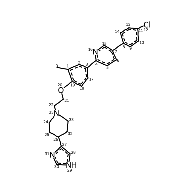 Cc1cc(-c2ccc(-c3ccc(Cl)cc3)cn2)ccc1OCCN1CCC(c2c[nH]cn2)CC1